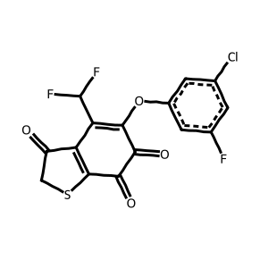 O=C1CSC2=C1C(C(F)F)=C(Oc1cc(F)cc(Cl)c1)C(=O)C2=O